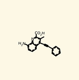 Cc1c(C(=O)O)nc2c(N)cccc2c1C#Cc1ccccc1